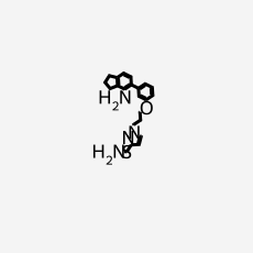 NSc1ccn(CCCOc2cccc(-c3ccc4c(c3N)CCC4)c2)n1